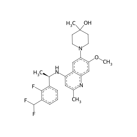 COc1cc2nc(C)cc(N[C@H](C)c3cccc(C(F)F)c3F)c2cc1N1CCC(C)(O)CC1